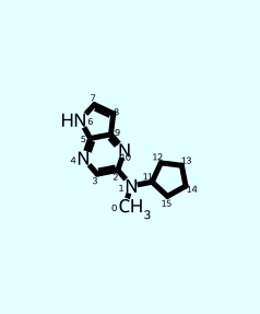 CN(c1cnc2[nH]ccc2n1)C1CCCC1